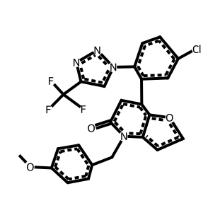 COc1ccc(Cn2c(=O)cc(-c3cc(Cl)ccc3-n3cc(C(F)(F)F)nn3)c3occc32)cc1